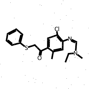 CCN(C)/C=N\c1cc(C)c(C(=O)CSc2ccccc2)cc1Cl